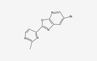 Cc1nccc(-c2nc3cc(Br)cnc3o2)n1